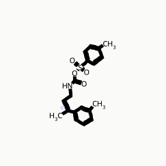 C/C(=C/CNC(=O)OS(=O)(=O)c1ccc(C)cc1)c1cccc(C)c1